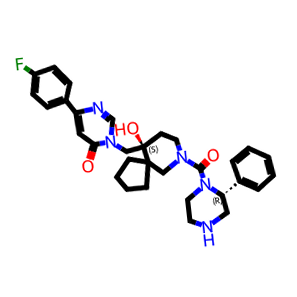 O=C(N1CC[C@@](O)(Cn2cnc(-c3ccc(F)cc3)cc2=O)C2(CCCC2)C1)N1CCNC[C@H]1c1ccccc1